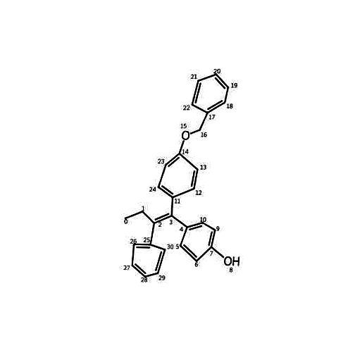 CCC(=C(c1ccc(O)cc1)c1ccc(OCc2ccccc2)cc1)c1ccccc1